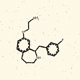 NCCOc1ccc2c(c1)C(Cc1cccc(F)c1)NCCC2